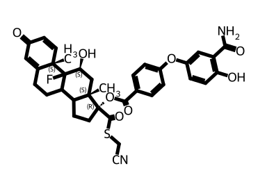 C[C@]12C=CC(=O)C=C1CCC1C3CC[C@](OC(=O)c4ccc(Oc5ccc(O)c(C(N)=O)c5)cc4)(C(=O)SCC#N)[C@@]3(C)C[C@H](O)C12F